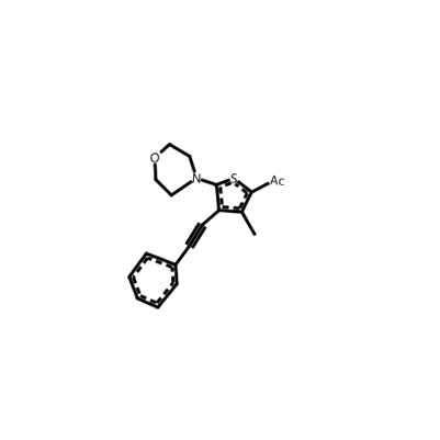 CC(=O)c1sc(N2CCOCC2)c(C#Cc2ccccc2)c1C